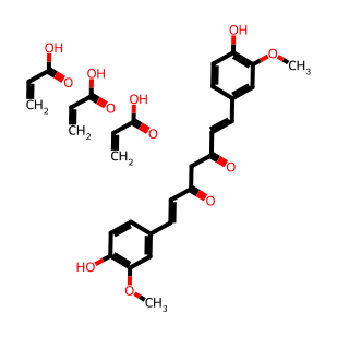 C=CC(=O)O.C=CC(=O)O.C=CC(=O)O.COc1cc(/C=C/C(=O)CC(=O)/C=C/c2ccc(O)c(OC)c2)ccc1O